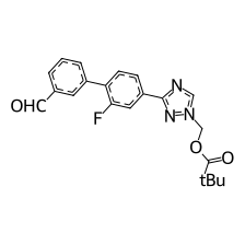 CC(C)(C)C(=O)OCn1cnc(-c2ccc(-c3cccc(C=O)c3)c(F)c2)n1